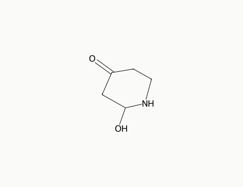 O=C1CCNC(O)C1